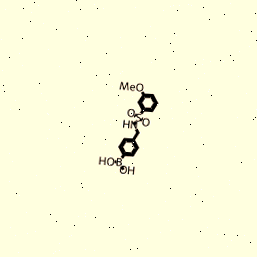 COc1cccc(S(=O)(=O)NCc2ccc(B(O)O)cc2)c1